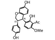 COc1ccc([C@@H]2c3ccc(O)cc3OC[C@@H]2c2ccc(O)cc2)c(O)c1C(C)=O